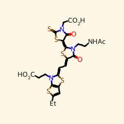 CCc1cc2c(s1)N(CCC(=O)O)C(=CC=c1s/c(=C3\SC(=S)N(CC(=O)O)C3=O)n(CCNC(C)=O)c1=O)S2